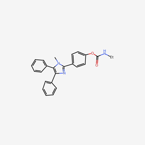 CCNC(=O)Oc1ccc(-c2nc(-c3ccccc3)c(-c3ccccc3)n2C)cc1